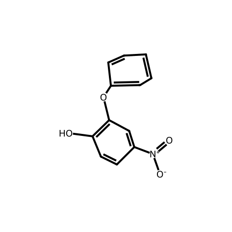 O=[N+]([O-])c1ccc(O)c(Oc2ccccc2)c1